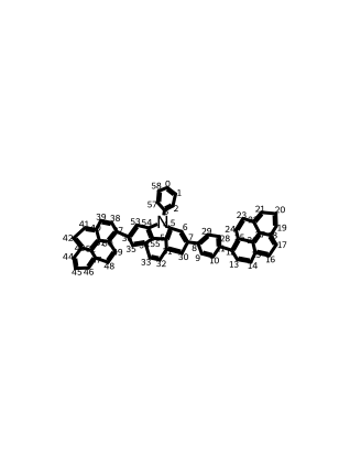 c1ccc(-n2c3cc(-c4ccc(-c5ccc6ccc7cccc8ccc5c6c78)cc4)cc4ccc5cc(-c6ccc7ccc8cccc9ccc6c7c89)cc2c5c43)cc1